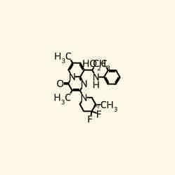 Cc1cc(C(C)Nc2ccccc2C(=O)O)c2nc(N3CCC(F)(F)[C@H](C)C3)c(C)c(=O)n2c1